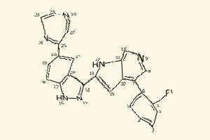 Fc1ccccc1-c1cncc2[nH]c(-c3n[nH]c4ccc(-c5cnccn5)cc34)cc12